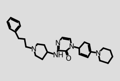 O=c1c(NC2CCN(CCCc3ccccc3)CC2)nccn1C1C=CC(N2CCCCC2)=CC1